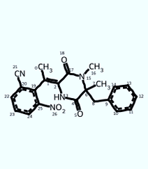 CC(=C1NC(=O)C(C)(Cc2ccccc2)N(C)C1=O)c1c(C#N)cccc1[N+](=O)[O-]